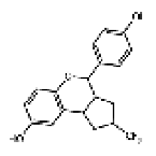 Oc1ccc(C2Oc3ccc(O)cc3C3CC(C(F)(F)F)CC32)cc1